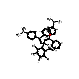 CN(C)c1ccc(C(=CC2(C=C(c3ccccc3)c3ccc(N(C)C)cc3)OC(=O)c3c(Br)c(Br)c(Cl)c(Br)c32)c2ccccc2)cc1